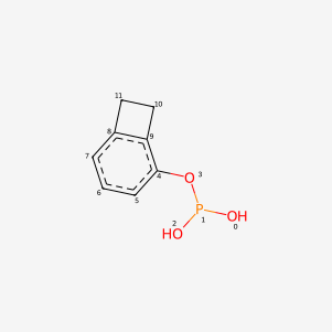 OP(O)Oc1cccc2c1CC2